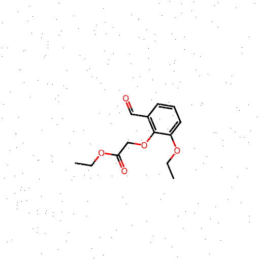 CCOC(=O)COc1c(C=O)cccc1OCC